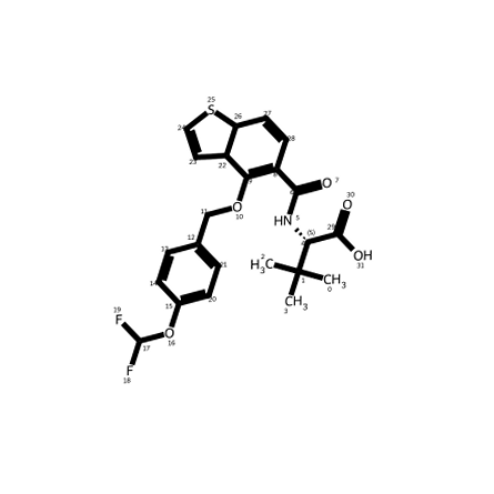 CC(C)(C)[C@H](NC(=O)C1=C(OCc2ccc(OC(F)F)cc2)C2C=CSC2C=C1)C(=O)O